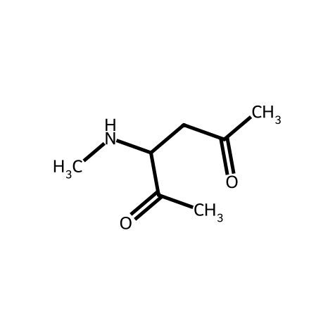 CNC(CC(C)=O)C(C)=O